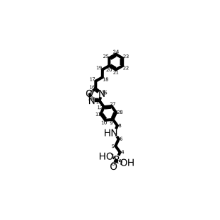 O=P(O)(O)CCCNCc1ccc(-c2noc(CCCc3ccccc3)n2)cc1